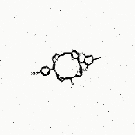 Cc1cc(C)c(-c2c3nc(cc4ccc([nH]4)c(-c4ccc(C=O)cc4)c4nc(c(Br)c5ccc2[nH]5)C=C4)C=C3)c(C)c1